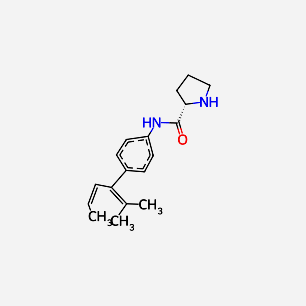 C/C=C\C(=C(C)C)c1ccc(NC(=O)[C@@H]2CCCN2)cc1